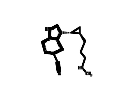 CNCCC[C@@H]1C[C@H]1c1c[nH]c2ccc(C#N)cc12